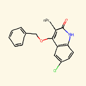 CCCc1c(OCc2ccccc2)c2cc(Cl)ccc2[nH]c1=O